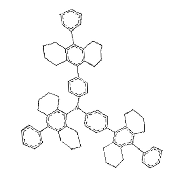 c1ccc(-c2c3c(c(-c4ccc(N(c5ccc(-c6c7c(c(-c8ccccc8)c8c6CCCC8)CCCC7)cc5)c5c6c(c(-c7ccccc7)c7c5CCCC7)CCCC6)cc4)c4c2CCCC4)CCCC3)cc1